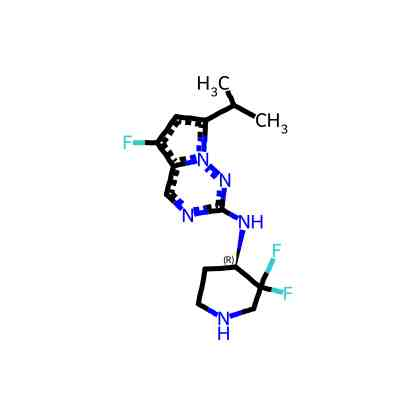 CC(C)c1cc(F)c2cnc(N[C@@H]3CCNCC3(F)F)nn12